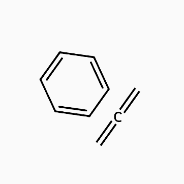 C=C=C.c1ccccc1